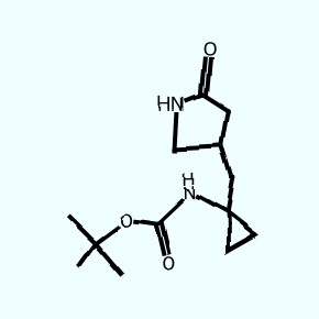 CC(C)(C)OC(=O)NC1(CC2CNC(=O)C2)CC1